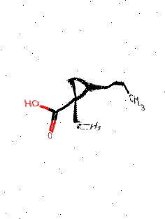 CC[C]1CC1(C)C(=O)O